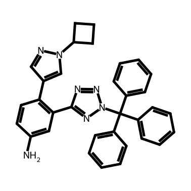 Nc1ccc(-c2cnn(C3CCC3)c2)c(-c2nnn(C(c3ccccc3)(c3ccccc3)c3ccccc3)n2)c1